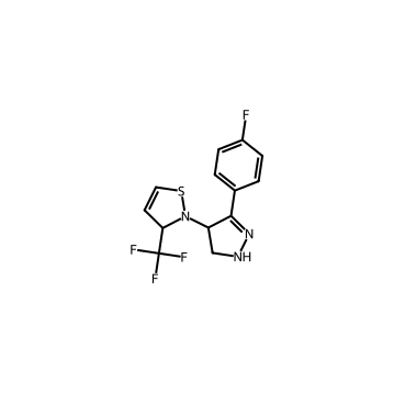 Fc1ccc(C2=NNCC2N2SC=CC2C(F)(F)F)cc1